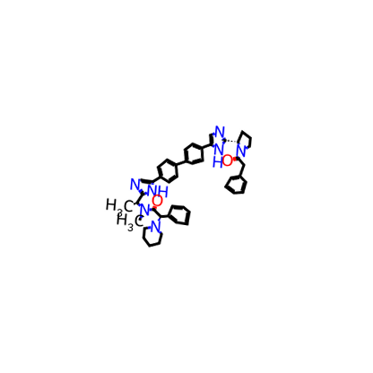 C[C@@H](c1ncc(-c2ccc(-c3ccc(-c4cnc([C@@H]5CCCN5C(=O)Cc5ccccc5)[nH]4)cc3)cc2)[nH]1)N(C)C(=O)[C@@H](c1ccccc1)N1CCCCC1